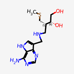 CSC[C@@H](CNCc1c[nH]c2c(N)ncnc12)[C@@H](O)CO